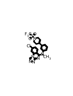 CN(c1cccc(C2=CCN(S(=O)(=O)C(F)(F)F)CC2)c1)c1nc2nncn2c2cc(Cl)ccc12